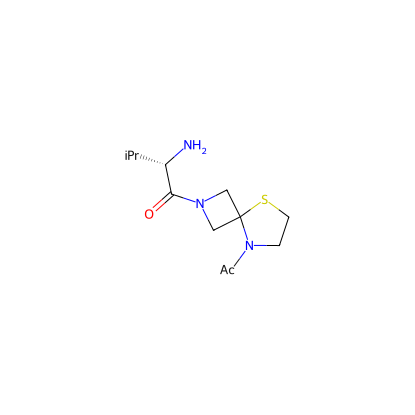 CC(=O)N1CCSC12CN(C(=O)[C@@H](N)C(C)C)C2